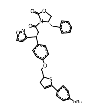 CCCCc1ccc(C2=CCC(COc3ccc([C@H](CC(=O)N4C(=O)OC[C@@H]4Cc4ccccc4)c4ccon4)cc3)S2)cc1